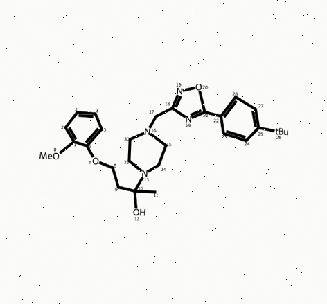 COc1ccccc1OCCC(C)(O)N1CCN(Cc2noc(-c3ccc(C(C)(C)C)cc3)n2)CC1